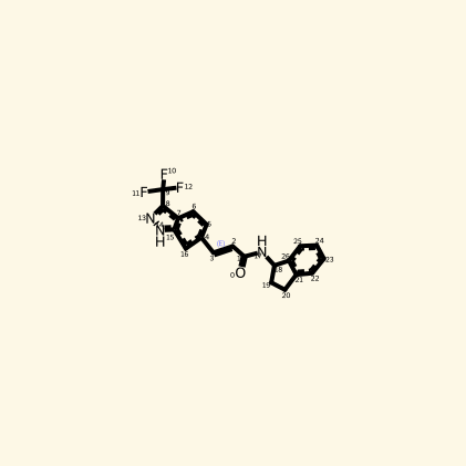 O=C(/C=C/c1ccc2c(C(F)(F)F)n[nH]c2c1)NC1CCc2ccccc21